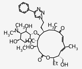 CC[C@H]1OC(=O)C[C@@H](O)[C@H](C)[C@@H](O[C@@H]2O[C@H](C)[C@@H](O)[C@@H](N(C)C)C2O)[C@@H](CCn2cc(-c3ccccc3)nn2)C[C@@H](C)C(=O)/C=C/C(C)=C/[C@@H]1CO